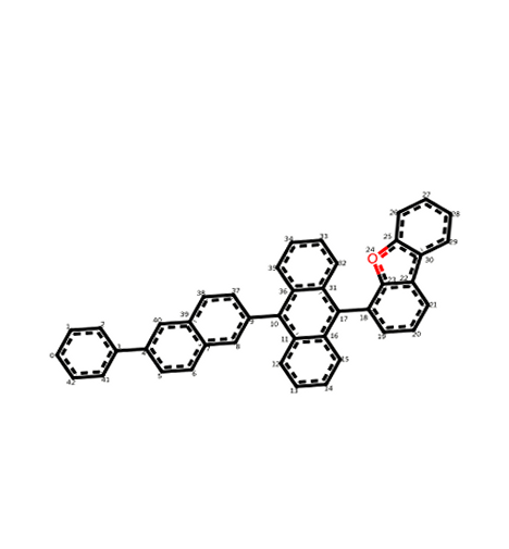 c1ccc(-c2ccc3cc(-c4c5ccccc5c(-c5cccc6c5oc5ccccc56)c5ccccc45)ccc3c2)cc1